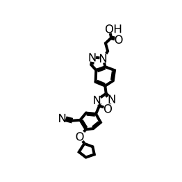 N#Cc1cc(-c2nc(-c3ccc4c(cnn4CCC(=O)O)c3)no2)ccc1OC1CCCC1